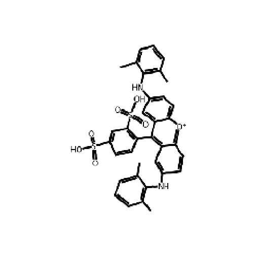 Cc1cccc(C)c1Nc1ccc2[o+]c3ccc(Nc4c(C)cccc4C)cc3c(-c3ccc(S(=O)(=O)O)cc3S(=O)(=O)O)c2c1